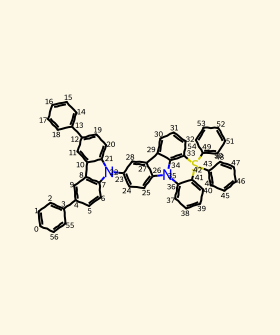 c1ccc(-c2ccc3c(c2)c2cc(-c4ccccc4)ccc2n3-c2ccc3c(c2)c2cccc4c2n3-c2ccccc2S4(c2ccccc2)c2ccccc2)cc1